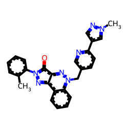 Cc1ccccc1-n1nc2c3ccccc3n(Cc3ccc(-c4cnn(C)c4)nc3)nc-2c1=O